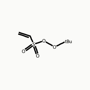 C=CS(=O)(=O)OOC(C)(C)C